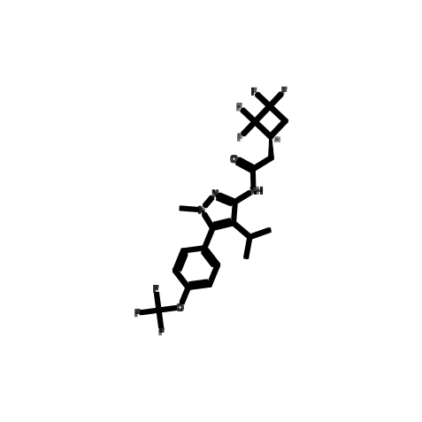 CC(C)c1c(NC(=O)C[C@@H]2CC(F)(F)C2(F)F)nn(C)c1-c1ccc(OC(F)(F)F)cc1